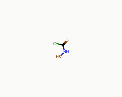 S=C(Cl)NS